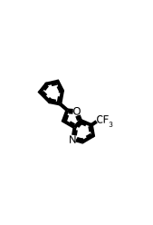 FC(F)(F)c1ccnc2cc(-c3ccccc3)oc12